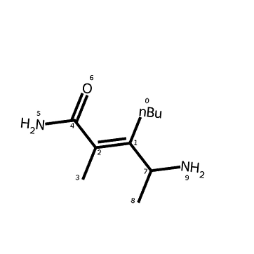 CCCCC(=C(C)C(N)=O)C(C)N